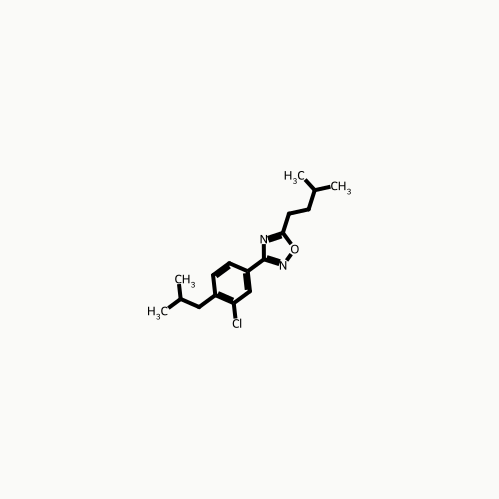 CC(C)CCc1nc(-c2ccc(CC(C)C)c(Cl)c2)no1